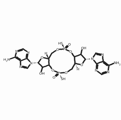 Nc1ncnc2c1ncn2[C@@H]1O[C@H]2CO[P@](=O)(S)OC3C(O)[C@H](n4cnc5c(N)ncnc54)O[C@@H]3CO[P@@](=O)(S)OC2C1O